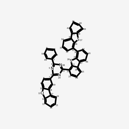 c1ccc(-c2nc(-c3ccc4oc5ccccc5c4c3)nc(-c3cccc4c3sc3c(-c5cccc6c5sc5ccccc56)cccc34)n2)cc1